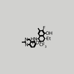 CC[C@@H]1C[C@](O)(C(F)(F)F)[C@@H](Nc2cccc3nc(C)ncc23)c2cc(C)c(F)c(O)c21